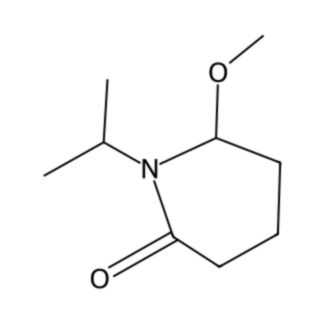 COC1CCCC(=O)N1C(C)C